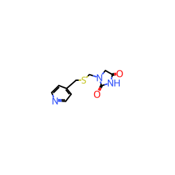 O=C1CN(CSCc2ccncc2)C(=O)N1